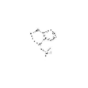 [CH3][SnH]([CH3])[CH3].c1scc2c1OCCO2